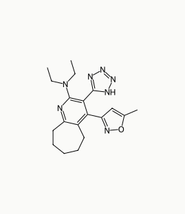 CCN(CC)c1nc2c(c(-c3cc(C)on3)c1-c1nnn[nH]1)CCCCC2